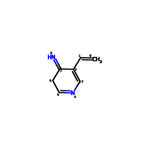 C=CC1=[C]N=CCC1=N